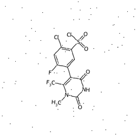 Cn1c(C(F)(F)F)c(-c2cc(S(=O)(=O)Cl)c(Cl)cc2F)c(=O)[nH]c1=O